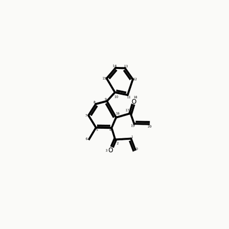 C=CC(=O)c1c(C)ccc(-c2ccccc2)c1C(=O)C=C